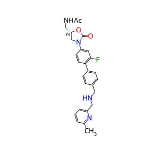 CC(=O)NC[C@H]1CN(c2ccc(-c3ccc(CNCc4cccc(C)n4)cc3)c(F)c2)C(=O)O1